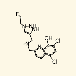 CN(CC1=CN(CCF)NN1)Cc1ccc2c(Cl)cc(Cl)c(O)c2n1